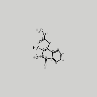 COC(=O)Cc1c(C)n(O)c(=O)c2ccccc12